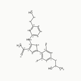 CC(O)Cc1cc(F)c(-c2cc(C(N)=O)c(Nc3cccc(CCO)n3)s2)c(F)c1